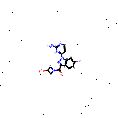 Nc1nccc(-n2nc(C(=O)N3CC(O)C3)c3ccc(I)cc32)n1